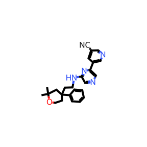 CC1(C)CC(CCNc2cncc(-c3cncc(C#N)c3)n2)(c2ccccc2)CCO1